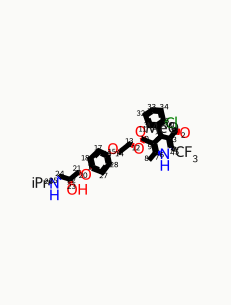 COC(=O)C1=C(C(F)(F)F)NC(C)=C(C(=O)OCCOc2ccc(OCC(O)CNC(C)C)cc2)C1c1ccccc1Cl